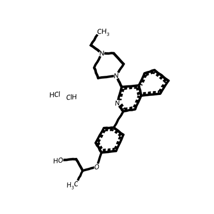 CCN1CCN(c2nc(-c3ccc(OC(C)CO)cc3)cc3ccccc23)CC1.Cl.Cl